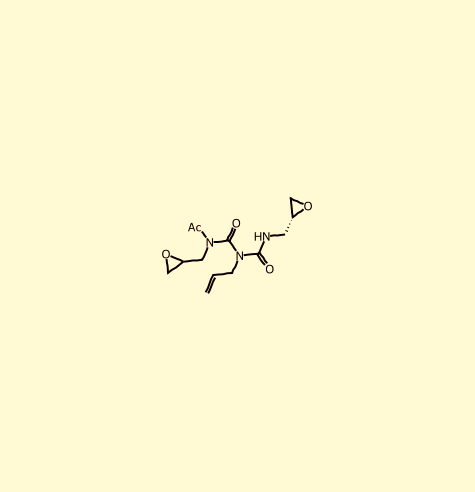 C=CCN(C(=O)NC[C@@H]1CO1)C(=O)N(CC1CO1)C(C)=O